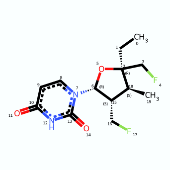 CC[C@@]1(CF)O[C@@H](n2ccc(=O)[nH]c2=O)[C@@H](CF)[C@@H]1C